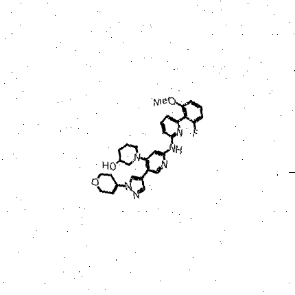 COc1cccc(F)c1-c1cccc(Nc2cc(N3CCC[C@H](O)C3)c(-c3cnn(C4CCOCC4)c3)cn2)n1